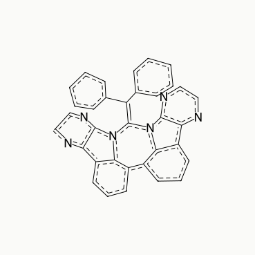 c1ccc(C(c2ccccc2)=c2n3c4nccnc4c4cccc(c5cccc6c7nccnc7n2c56)c43)cc1